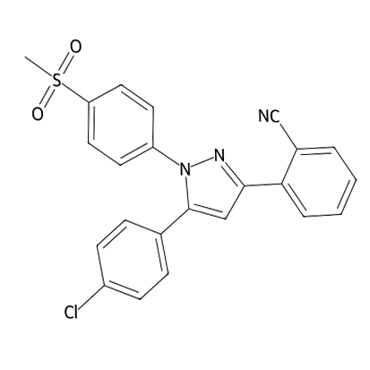 CS(=O)(=O)c1ccc(-n2nc(-c3ccccc3C#N)cc2-c2ccc(Cl)cc2)cc1